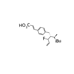 C=CC(F)[C@H](Cc1ccc(/C=C/C(=O)O)cc1)[C@@H](C)[C@H](C)CC